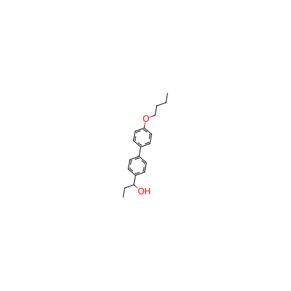 CCCCOc1ccc(-c2ccc(C(O)CC)cc2)cc1